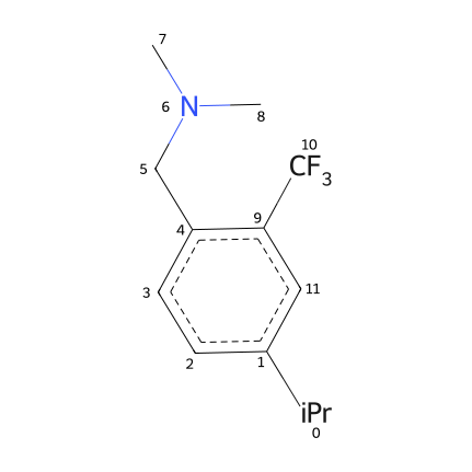 CC(C)c1ccc(CN(C)C)c(C(F)(F)F)c1